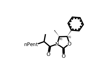 CCCCCC(C)C(=O)N1C(=O)O[C@@H](c2ccccc2)[C@H]1C